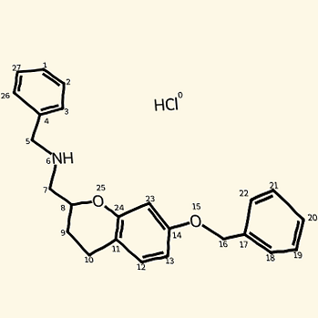 Cl.c1ccc(CNCC2CCc3ccc(OCc4ccccc4)cc3O2)cc1